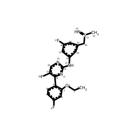 CCOc1cc(F)ccc1-c1nc(Nc2cc(F)cc(CS(C)=N)c2)ncc1F